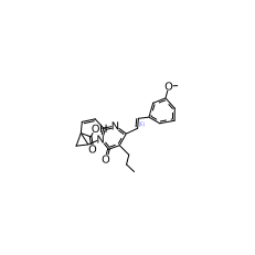 CCCc1c(/C=C/c2cccc(OC)c2)nc2n(c1=O)C1CC1(C(=O)O)C=C2